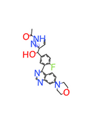 C=C/C(=N\NC(C)=O)C(O)c1ccc(F)c(-c2ncnc3cc(N4CCOCC4)ccc23)c1